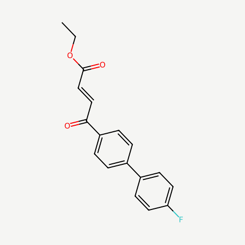 CCOC(=O)/C=C/C(=O)c1ccc(-c2ccc(F)cc2)cc1